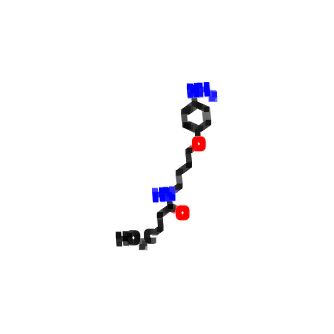 Nc1ccc(OCCCCNC(=O)CCC(=O)O)cc1